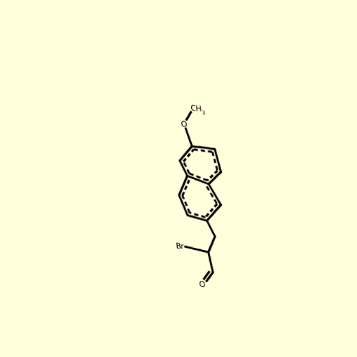 COc1ccc2cc(CC(Br)C=O)ccc2c1